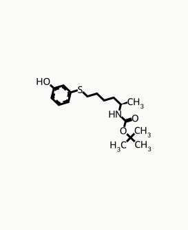 C[C@H](CCCCSc1cccc(O)c1)NC(=O)OC(C)(C)C